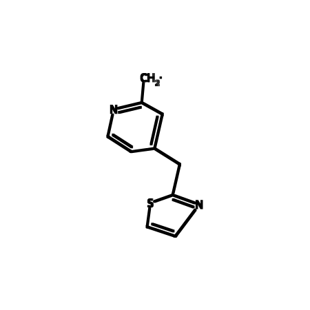 [CH2]c1cc(Cc2nccs2)ccn1